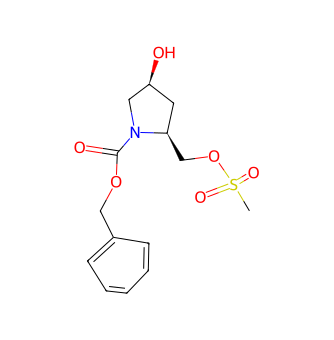 CS(=O)(=O)OC[C@@H]1C[C@H](O)CN1C(=O)OCc1ccccc1